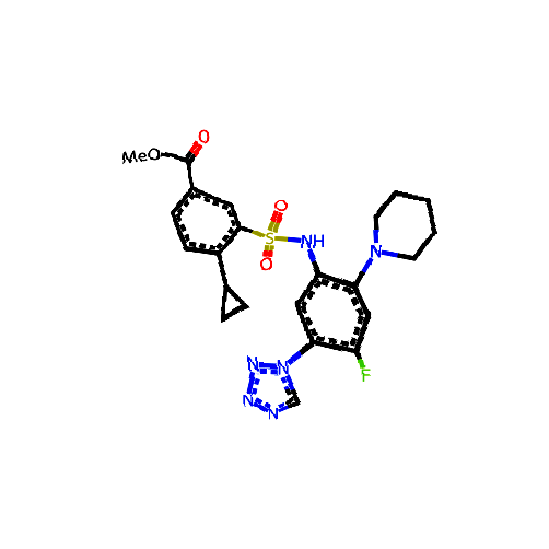 COC(=O)c1ccc(C2CC2)c(S(=O)(=O)Nc2cc(-n3cnnn3)c(F)cc2N2CCCCC2)c1